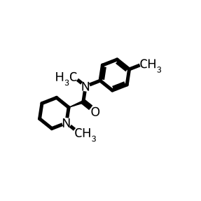 Cc1ccc(N(C)C(=O)[C@@H]2CCCCN2C)cc1